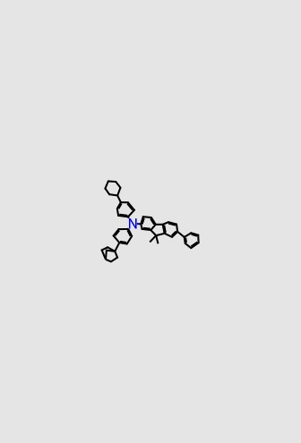 CC1(C)c2cc(-c3ccccc3)ccc2-c2ccc(N(c3ccc(C4CCCCC4)cc3)c3ccc(C45CCC(CC4)C5)cc3)cc21